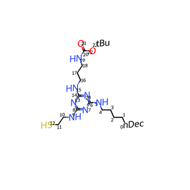 CCCCCCCCCCCCCCNc1nc(NCCS)nc(NCCCNC(=O)OC(C)(C)C)n1